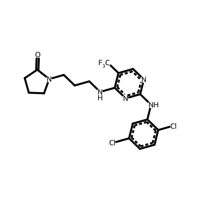 O=C1CCCN1CCCNc1nc(Nc2cc(Cl)ccc2Cl)ncc1C(F)(F)F